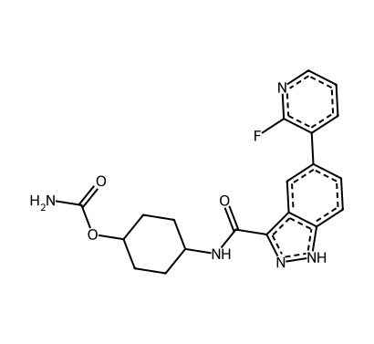 NC(=O)OC1CCC(NC(=O)c2n[nH]c3ccc(-c4cccnc4F)cc23)CC1